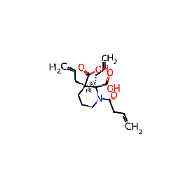 C=CCC(=O)N1CCC[C@](CC=C)(C(=O)O)[C@@]1(CC=C)C(=O)O